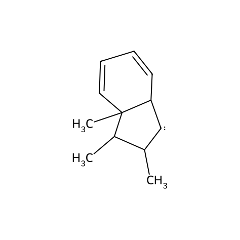 CC1[C]C2C=CC=CC2(C)C1C